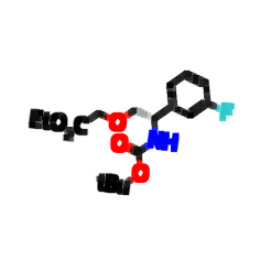 CCOC(=O)COC[C@@H](NC(=O)OC(C)(C)C)c1cccc(F)c1